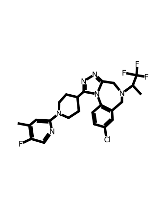 Cc1cc(N2CCC(c3nnc4n3-c3ccc(Cl)cc3CN(C(C)C(F)(F)F)C4)CC2)ncc1F